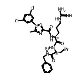 CCN(Cc1ccccc1)C(=O)[C@H](CC(C)C)NC(=O)[C@H](CCCNC(=N)N)NC(=O)c1nc(C)n(-c2cc(Cl)cc(Cl)c2)n1